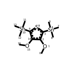 COc1[c]([Sn]([CH3])([CH3])[CH3])s[c]([Sn]([CH3])([CH3])[CH3])c1OC